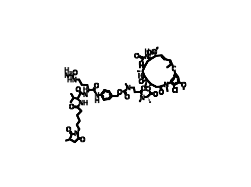 COc1cc2cc(c1Cl)N(C)C(=O)C[C@H](OC(=O)[C@H](C)N(C)C(=O)CCN(C)C(=O)OCc1ccc(NC(=O)[C@H](CCCNC(N)=O)NC(=O)[C@@H](NC(=O)CCCCCN3C(=O)CC(C)C3=O)C(C)C)cc1)[C@]1(C)O[C@H]1[C@H](C)[C@@H]1C[C@@](O)(NC(=O)O1)[C@H](OC)/C=C/C=C(\C)C2